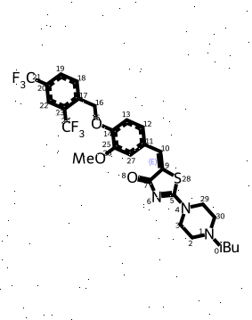 CCC(C)N1CCN(C2=NC(=O)/C(=C\c3ccc(OCc4ccc(C(F)(F)F)cc4C(F)(F)F)c(OC)c3)S2)CC1